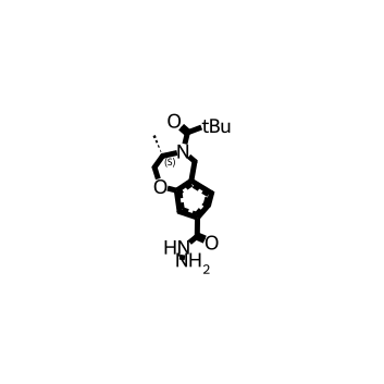 C[C@H]1COc2cc(C(=O)NN)ccc2CN1C(=O)C(C)(C)C